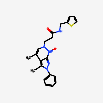 CC1=CN(CCC(=O)NCc2cccs2)[NH+]([O-])c2nn(-c3ccccc3)c(C)c21